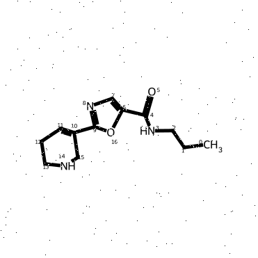 CCCNC(=O)c1cnc(C2=CCCNC2)o1